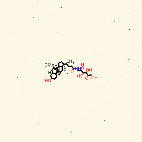 CO[C@@H]1C[C@@H]2C[C@H](O)CC[C@]2(C)[C@H]2CC[C@]3(C)C([C@H](C)CCC(=O)NC[C@H](O)[C@@H](O)[C@H](O)[C@H](O)CO)CC[C@H]3[C@H]12